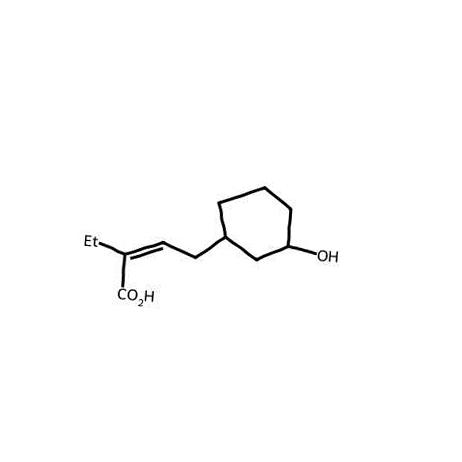 CCC(=CCC1CCCC(O)C1)C(=O)O